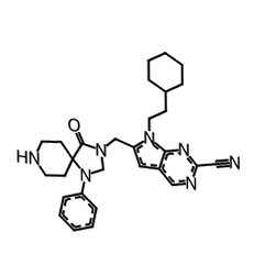 N#Cc1ncc2cc(CN3CN(c4ccccc4)C4(CCNCC4)C3=O)n(CCC3CCCCC3)c2n1